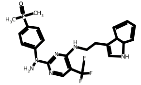 CP(C)(=O)c1ccc(N(N)c2ncc(C(F)(F)F)c(NCCC3=CNC4C=CC=CC34)n2)cc1